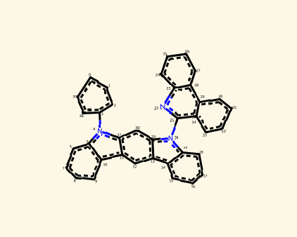 c1ccc(-n2c3ccccc3c3cc4c5ccccc5n(-c5nc6ccccc6c6ccccc56)c4cc32)cc1